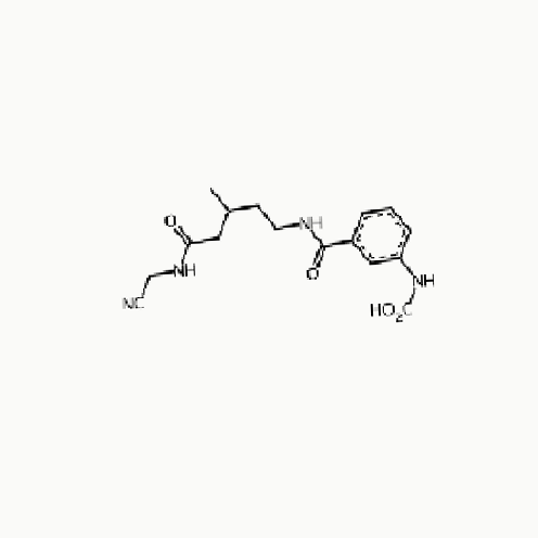 CC(CCNC(=O)c1cccc(NC(=O)O)c1)CC(=O)NCC#N